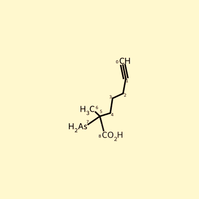 C#CCCCC(C)([AsH2])C(=O)O